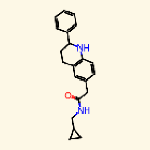 O=C(Cc1ccc2c(c1)CCC(c1ccccc1)N2)NCC1CC1